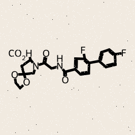 O=C(NCC(=O)N1CC2(CC1C(=O)O)OCCO2)c1ccc(-c2ccc(F)cc2)c(F)c1